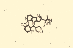 COc1nccc2c3ncc(-c4c(C)nnn4C)cc3n(C(c3cc(F)ccc3F)C3CCOCC3)c12